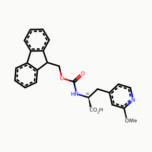 COc1cc(C[C@H](NC(=O)OCC2c3ccccc3-c3ccccc32)C(=O)O)ccn1